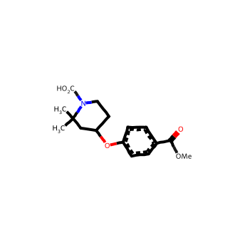 COC(=O)c1ccc(OC2CCN(C(=O)O)C(C)(C)C2)cc1